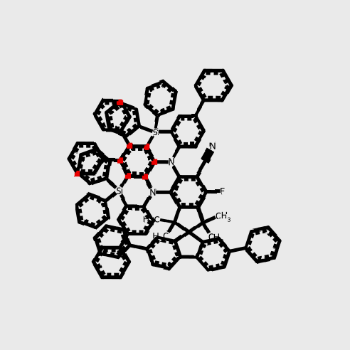 CC1(C)c2c(F)c(C#N)c(N3c4ccc(-c5ccccc5)cc4[Si](c4ccccc4)(c4ccccc4)c4cc(-c5ccccc5)ccc43)c(N3c4ccc(-c5ccccc5)cc4[Si](c4ccccc4)(c4ccccc4)c4cc(-c5ccccc5)ccc43)c2C(C)(C)C12c1cc(-c3ccccc3)ccc1-c1ccc(-c3ccccc3)cc12